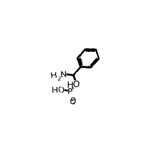 NC(O[PH](=O)O)c1ccccc1